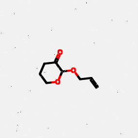 C=CCOC1OCCCC1=O